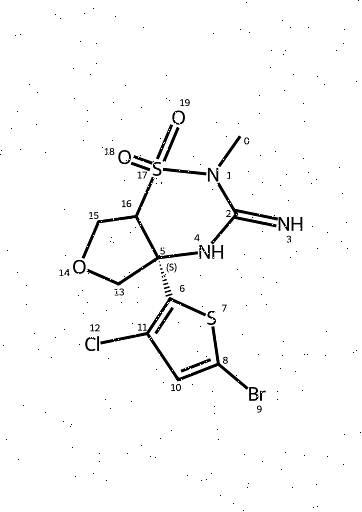 CN1C(=N)N[C@@]2(c3sc(Br)cc3Cl)COCC2S1(=O)=O